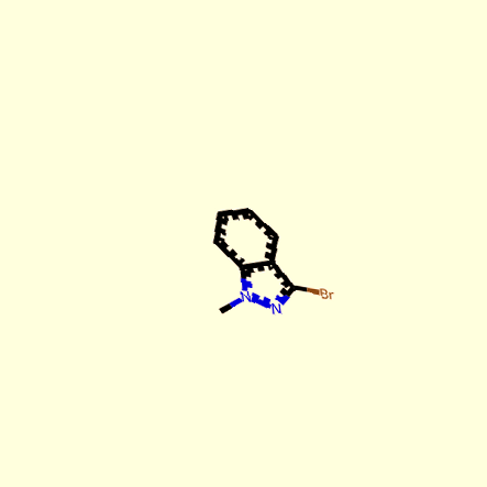 Cn1nc(Br)c2ccccc21